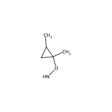 CC1CC1(C)O[NH]